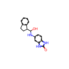 O=c1[nH]c2ccc(NC(O)C3CCc4ccccc43)cc2[nH]1